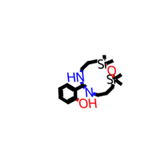 C[Si]1(C)CCC/N=C(/c2ccccc2O)NCCC[Si](C)(C)O1